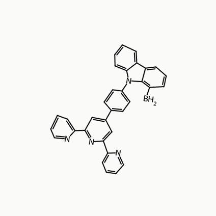 Bc1cccc2c3ccccc3n(-c3ccc(-c4cc(-c5ccccn5)nc(-c5ccccn5)c4)cc3)c12